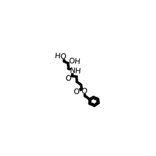 O=C(CCCC(=O)OCc1ccccc1)NC[C@@H](O)CO